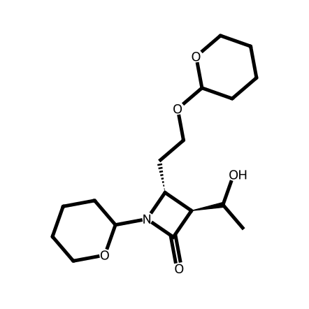 CC(O)[C@H]1C(=O)N(C2CCCCO2)[C@@H]1CCOC1CCCCO1